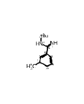 CC1C=C(C(=N)NC(C)(C)C)C=CC1